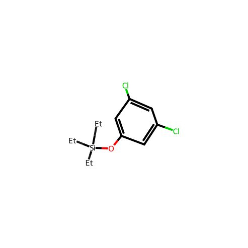 CC[Si](CC)(CC)Oc1cc(Cl)cc(Cl)c1